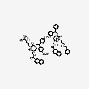 COc1ccc(C(CN2CC[C@@H](CNC(=O)c3ccc4ccccc4c3)N[C@@H](CCCNC(=N)N)C2=O)c2ccc(OC)cc2)cc1.O=C(NC[C@@H]1CCN(CC(c2ccccc2)c2ccccc2)C(=O)[C@H](CCCNCc2ccccc2)N1)c1ccc2ccccc2c1